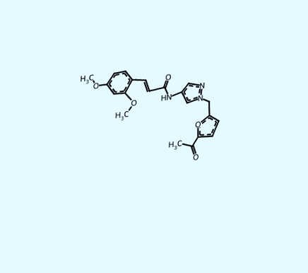 COc1ccc(C=CC(=O)Nc2cnn(Cc3ccc(C(C)=O)o3)c2)c(OC)c1